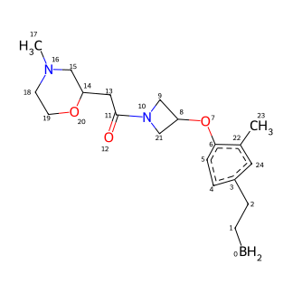 BCCc1ccc(OC2CN(C(=O)CC3CN(C)CCO3)C2)c(C)c1